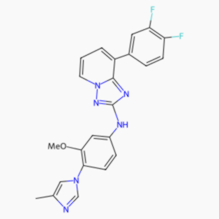 COc1cc(Nc2nc3c(-c4ccc(F)c(F)c4)cccn3n2)ccc1-n1cnc(C)c1